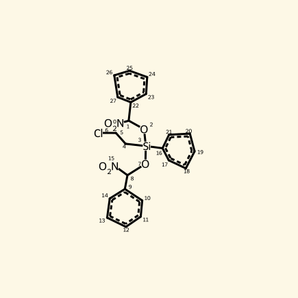 O=[N+]([O-])C(O[Si](CCCl)(OC(c1ccccc1)[N+](=O)[O-])c1ccccc1)c1ccccc1